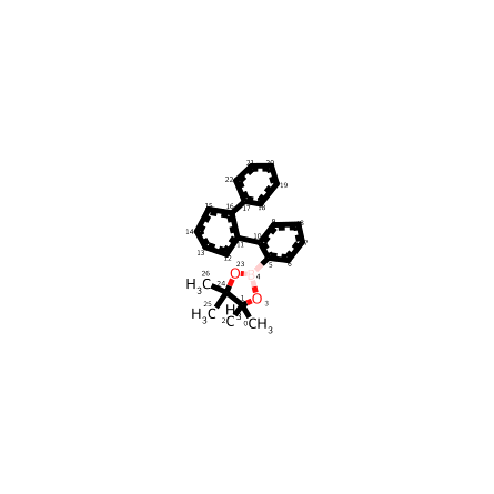 CC1(C)OB(c2ccccc2-c2ccccc2-c2ccccc2)OC1(C)C